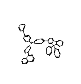 c1ccc(-c2ccc(N(c3ccc(-c4ccc5c(c4)C(c4ccccc4)(c4ccccc4)c4ccccc4-5)cc3)c3cccc(-c4cccc5ccccc45)c3)cc2)cc1